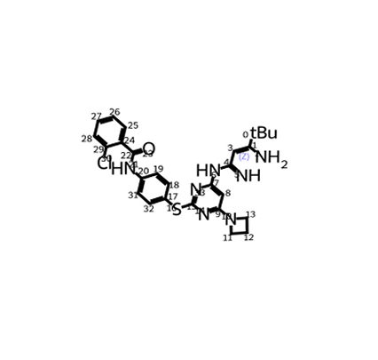 CC(C)(C)/C(N)=C/C(=N)Nc1cc(N2CCC2)nc(Sc2ccc(NC(=O)c3ccccc3Cl)cc2)n1